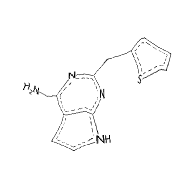 Nc1nc(Cc2cccs2)nc2[nH]ccc12